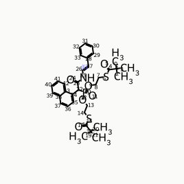 CC(C)(C)C(=O)SCCOP(=O)(OCCSC(=O)C(C)(C)C)C(C(=O)N/C=C/c1ccccc1)c1cccc2ccccc12